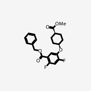 COC(=O)[C@H]1CC[C@@H](Oc2cc(C(=O)OCc3ccccc3)c(F)cc2F)CC1